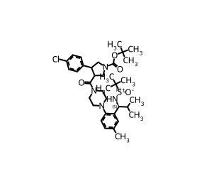 Cc1ccc(N2CCN(C(=O)C3CN(C(=O)OC(C)(C)C)CC3c3ccc(Cl)cc3)CC2)c([C@@H](N[S@@+]([O-])C(C)(C)C)C(C)C)c1